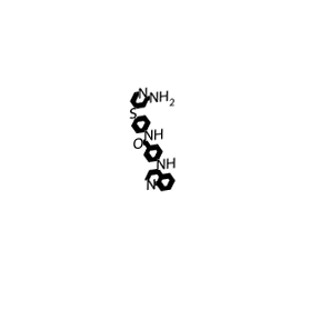 Nc1cc(Sc2ccc(NC(=O)c3ccc(Nc4ccnc5ccccc45)cc3)cc2)ccn1